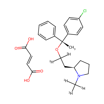 O=C(O)/C=C/C(=O)O.[2H]C([2H])(C[C@H]1CCCN1C([2H])([2H])[2H])O[C@](C)(c1ccccc1)c1ccc(Cl)cc1